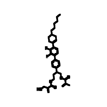 C=C(C)C(=O)OCC(CCOC(=O)C(=C)CO)c1ccc(-c2ccc(C3=CCC(CCCCCC)CC3)c(F)c2F)cc1